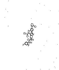 CCC(=O)Nc1c2c(nn1-c1ccc(N3CCCC3=O)cc1)CN(NC(=O)Nc1ccc(F)cc1F)C2